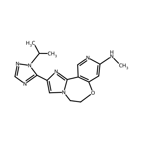 CNc1cc2c(cn1)-c1nc(-c3ncnn3C(C)C)cn1CCO2